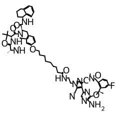 CN[C@H](C)C(=O)N[C@@H](C(=O)N1Cc2cc(OCCCCCCCCC(=O)NCCn3nc4c(c3C#N)-c3cnc(N)c(n3)O[C@H](C)c3cc(F)ccc3C(=O)N(C)C4)ccc2C[C@@H]1C(=O)N[C@H]1CCCc2ccccc21)C(C)(C)C